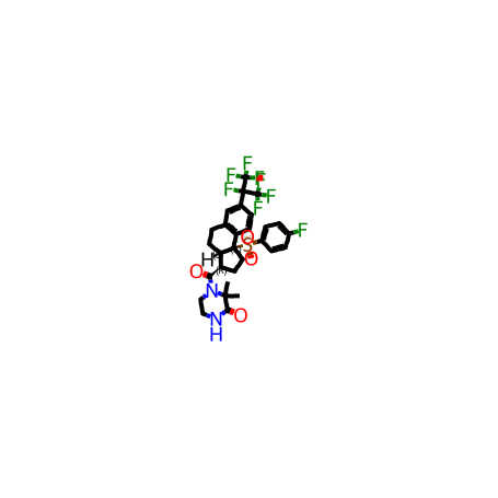 CC1(C)C(=O)NCCN1C(=O)[C@@H]1CC[C@@]2(S(=O)(=O)c3ccc(F)cc3)c3ccc(C(F)(C(F)(F)F)C(F)(F)F)cc3CC[C@@H]12